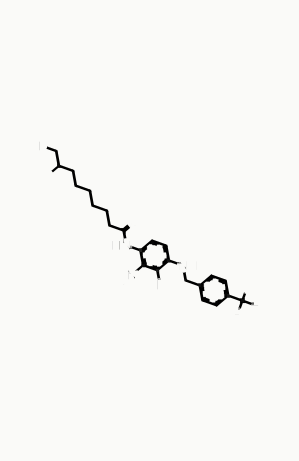 Nc1c(NC(=O)CCCCCCC(F)CF)ccc(NCc2ccc(C(F)(F)F)cc2)c1F